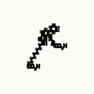 O=C(O)CCCCCCCCCCC(=O)Nc1nccc(-c2ccccc2)c1SCCCC(=O)O